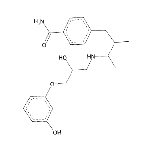 CC(Cc1ccc(C(N)=O)cc1)C(C)NCC(O)COc1cccc(O)c1